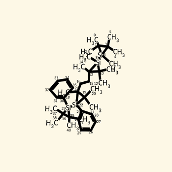 CC1(C)C(C)(C)[Si]1(C)[Si]1(C)C(C)(C)C1(C)CCC1(C)C(C)(C)[Si]1(c1ccccc1)[Si]1(c2ccccc2)C(C)(C)C1(C)C